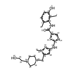 Cc1ccc(O)c(C)c1NC(=O)c1cnc(Nc2cc(CN3CCN(CCO)CC3)n(C)n2)s1